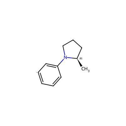 C[C@@H]1CCCN1c1c[c]ccc1